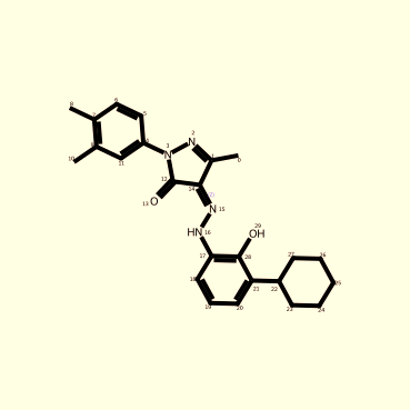 CC1=NN(c2ccc(C)c(C)c2)C(=O)/C1=N\Nc1cccc(C2CCCCC2)c1O